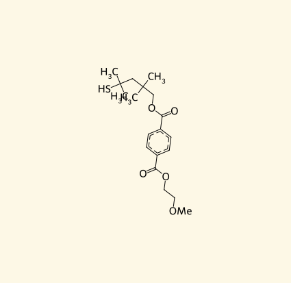 COCCOC(=O)c1ccc(C(=O)OCC(C)(C)CC(C)(C)S)cc1